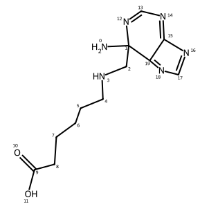 NC1(CNCCCCCC(=O)O)N=CN=C2N=CN=C21